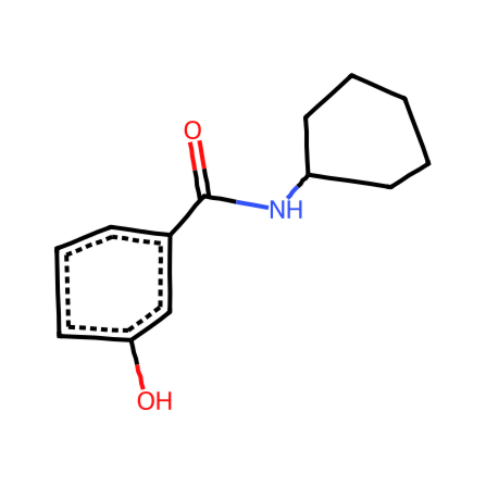 O=C(NC1CCCCC1)c1cccc(O)c1